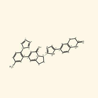 Cc1ccc(-n2cnnn2)c(-c2cc3n(c(=O)c2)[C@H](c2ncc(-c4ccc5c(c4)CCC(=O)N5)[nH]2)CC3)c1